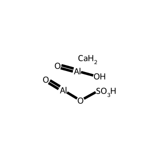 [CaH2].[O]=[Al][OH].[O]=[Al][O]S(=O)(=O)O